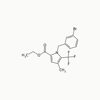 CCOC(=O)c1cc(C)c(C(F)(F)F)n1Cc1cccc(Br)c1